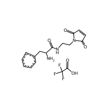 NC(Cc1ccccc1)C(=O)NCCN1C(=O)C=CC1=O.O=C(O)C(F)(F)F